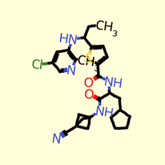 CCC(Nc1cc(Cl)cnc1C)c1ccc(C(=O)NC(CC2CCCC2)C(=O)NC23CC(C#N)(C2)C3)s1